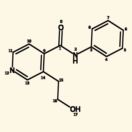 O=C(Nc1ccccc1)c1ccncc1CCO